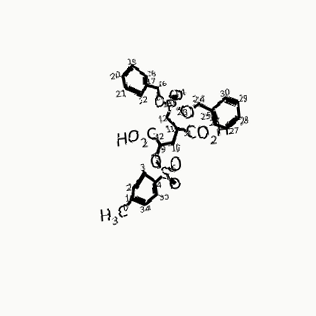 Cc1ccc(S(=O)(=O)OC(CC(CP(=O)(OCc2ccccc2)OCc2ccccc2)C(=O)O)C(=O)O)cc1